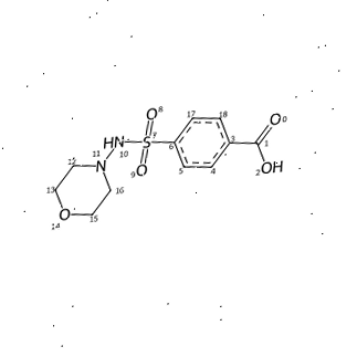 O=C(O)c1ccc(S(=O)(=O)NN2CCOCC2)cc1